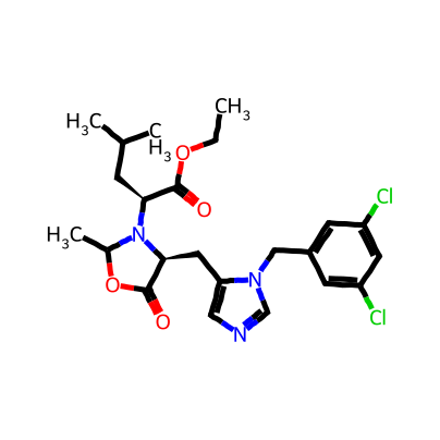 CCOC(=O)[C@H](CC(C)C)N1C(C)OC(=O)[C@@H]1Cc1cncn1Cc1cc(Cl)cc(Cl)c1